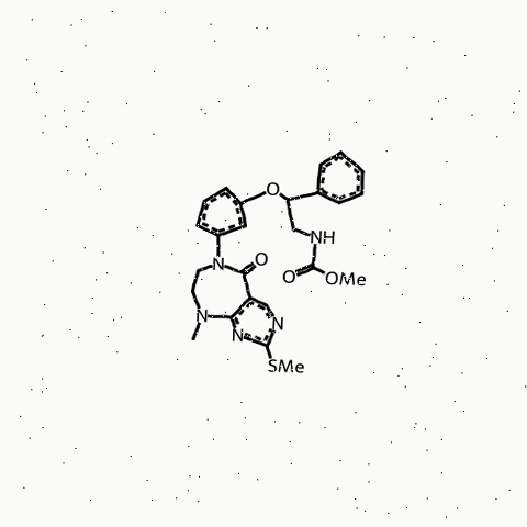 COC(=O)NCC(Oc1cccc(N2CCN(C)c3nc(SC)ncc3C2=O)c1)c1ccccc1